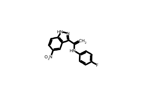 C=C(Nc1ccc(F)cc1)c1n[nH]c2ccc([N+](=O)[O-])cc12